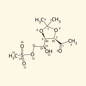 CC(=O)[C@@H]1OC(C)(C)O[C@@H]1[C@@H](O)COS(C)(=O)=O